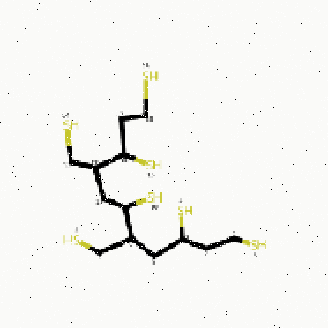 SCCC(S)CC(CS)C(S)CC(CS)C(S)CCS